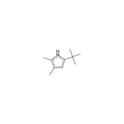 Cc1cc(C(C)(C)C)[nH]c1C